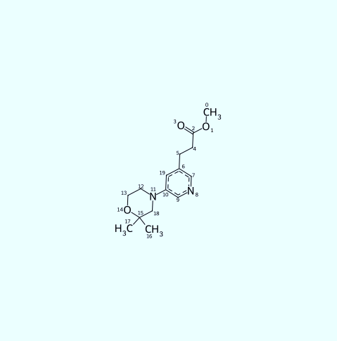 COC(=O)CCc1cncc(N2CCOC(C)(C)C2)c1